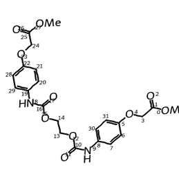 COC(=O)COc1ccc(NC(=O)OCCOC(=O)Nc2ccc(OCC(=O)OC)cc2)cc1